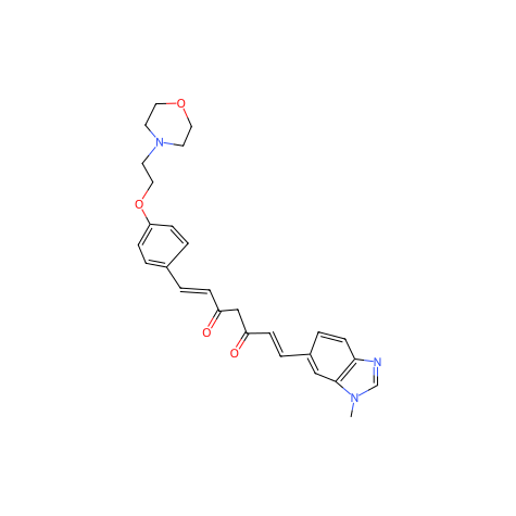 Cn1cnc2ccc(/C=C/C(=O)CC(=O)/C=C/c3ccc(OCCN4CCOCC4)cc3)cc21